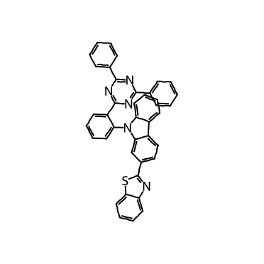 c1ccc(-c2nc(-c3ccccc3)nc(-c3ccccc3-n3c4ccccc4c4ccc(-c5nc6ccccc6s5)cc43)n2)cc1